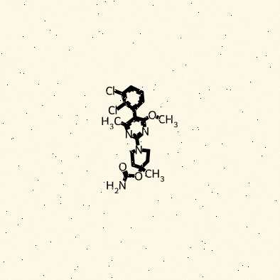 COc1nc(N2CCC(C)(OC(N)=O)CC2)nc(C)c1-c1cccc(Cl)c1Cl